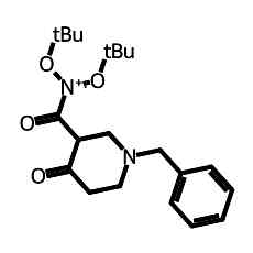 CC(C)(C)O[N+](OC(C)(C)C)C(=O)C1CN(Cc2ccccc2)CCC1=O